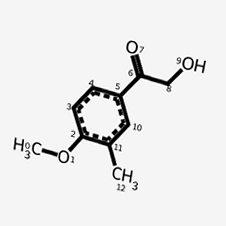 COc1ccc(C(=O)CO)cc1C